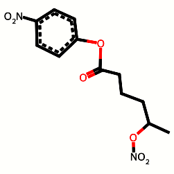 CC(CCCC(=O)Oc1ccc([N+](=O)[O-])cc1)O[N+](=O)[O-]